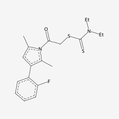 CCN(CC)C(=S)SCC(=O)n1c(C)cc(-c2ccccc2F)c1C